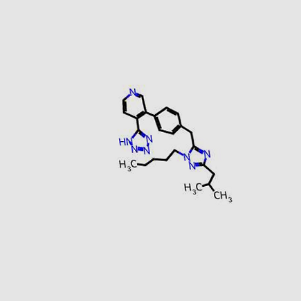 CCCCCn1nc(CC(C)C)nc1Cc1ccc(-c2cnccc2-c2nnn[nH]2)cc1